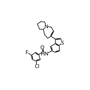 O=C(Nc1ccc2scc(C3=CCN4CCCCC4CC3)c2c1)c1cc(F)cc(Cl)c1